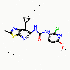 COc1ccc(NC(=O)Nc2cnc3sc(C)nc3c2C2CC2)c(Cl)n1